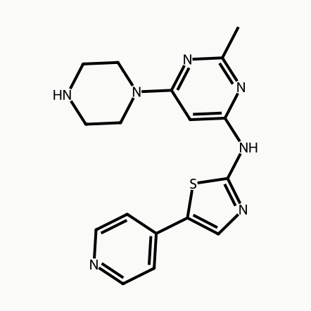 Cc1nc(Nc2ncc(-c3ccncc3)s2)cc(N2CCNCC2)n1